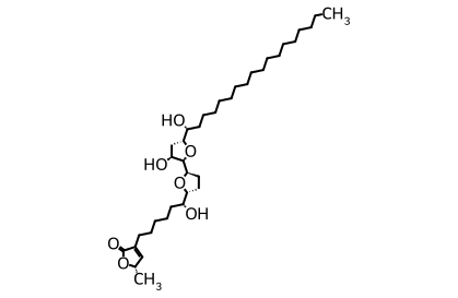 CCCCCCCCCCCCCCCCC[C@@H](O)[C@H]1C[C@H](O)[C@H]([C@H]2CC[C@H]([C@H](O)CCCCCC3=C[C@H](C)OC3=O)O2)O1